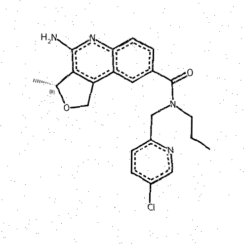 CCCN(Cc1ccc(Cl)cn1)C(=O)c1ccc2nc(N)c3c(c2c1)CO[C@@H]3C